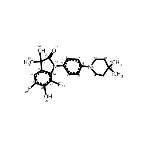 CC1(C)CCN(c2ccc(N3C(=O)C(C)(C)c4cc(F)c(O)c(F)c43)cc2)CC1